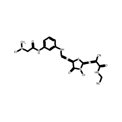 CCN(C)CC(=O)Nc1cccc(NC=C=c2sc(=C=C(C#N)C(=O)NCC#N)n(CC)c2=O)c1